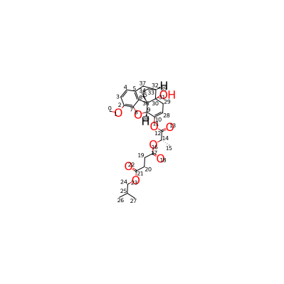 COc1ccc2c3c1O[C@H]1C(OC(=O)[C@H](C)OC(=O)CCC(=O)OCC(C)C)=CC[C@@]4(O)[C@H](CCC[C@]314)C2